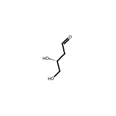 O=CC[C@@H](O)CO